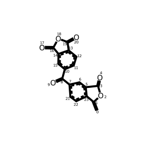 C=C1OC(=O)c2cc(C(=O)c3ccc4c(c3)C(=O)OC4=O)ccc21